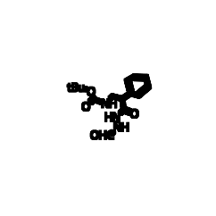 CC(C)(C)OC(=O)NCC(C(=O)NNC=O)c1ccccc1